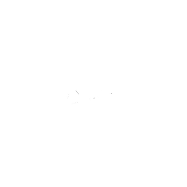 ISO[C@H]1C[C@@H](OCc2ccccc2)C1